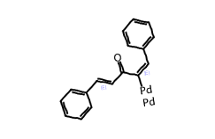 O=C(/C=C/c1ccccc1)/[C]([Pd])=C\c1ccccc1.[Pd]